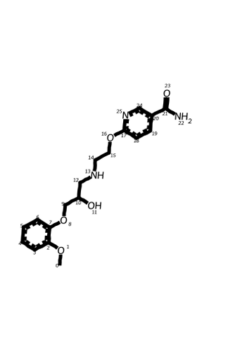 COc1ccccc1OCC(O)CNCCOc1ccc(C(N)=O)cn1